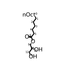 CCCCCCCCCCCCCC(=O)OC[C@H](O)CO